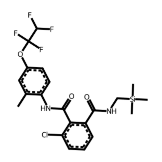 Cc1cc(OC(F)(F)C(F)F)ccc1NC(=O)c1c(Cl)cccc1C(=O)NC[Si](C)(C)C